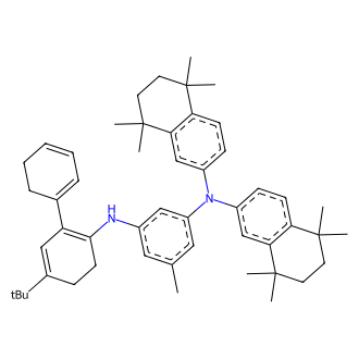 Cc1cc(NC2=C(C3=CC=CCC3)C=C(C(C)(C)C)CC2)cc(N(c2ccc3c(c2)C(C)(C)CCC3(C)C)c2ccc3c(c2)C(C)(C)CCC3(C)C)c1